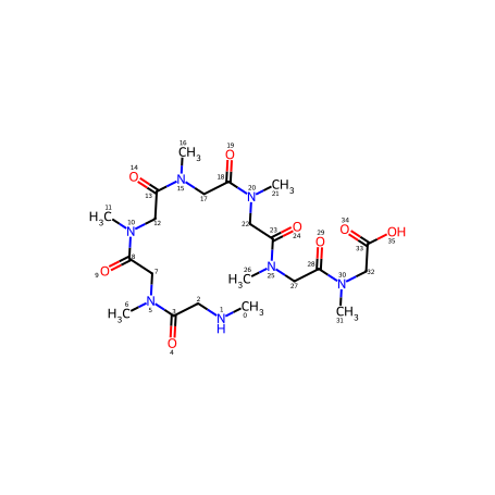 CNCC(=O)N(C)CC(=O)N(C)CC(=O)N(C)CC(=O)N(C)CC(=O)N(C)CC(=O)N(C)CC(=O)O